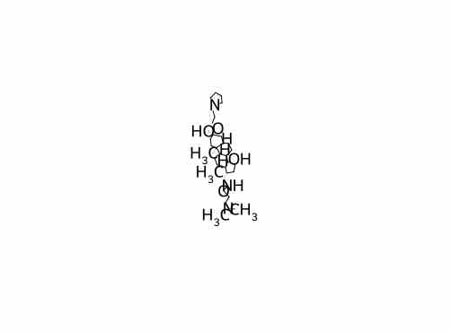 CN(C)CCONC[C@H]1CC[C@]2(O)[C@@H]3CC[C@@H]4C[C@](O)(OCCCN5CCCC5)CC[C@]4(C)[C@H]3CC[C@]12C